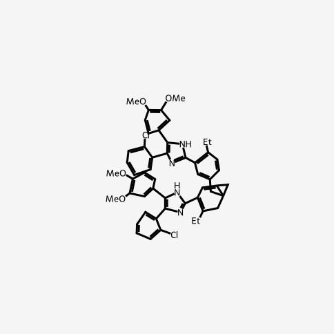 CCC1=C(c2nc(-c3ccccc3Cl)c(-c3ccc(OC)c(OC)c3)[nH]2)C=C2CC2(Cc2ccc(CC)c(-c3nc(-c4ccccc4Cl)c(-c4ccc(OC)c(OC)c4)[nH]3)c2)C1